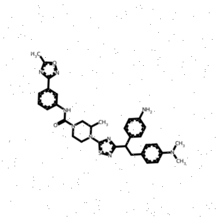 Cc1nc(-c2cccc(NC(=O)N3CCN(c4nc(C(Cc5ccc(N(C)C)cc5)c5ccc(N)cc5)ns4)C(C)C3)c2)no1